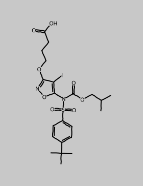 CC(C)COC(=O)N(c1onc(OCCCC(=O)O)c1I)S(=O)(=O)c1ccc(C(C)(C)C)cc1